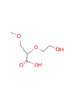 COCC(OCCO)C(=O)O